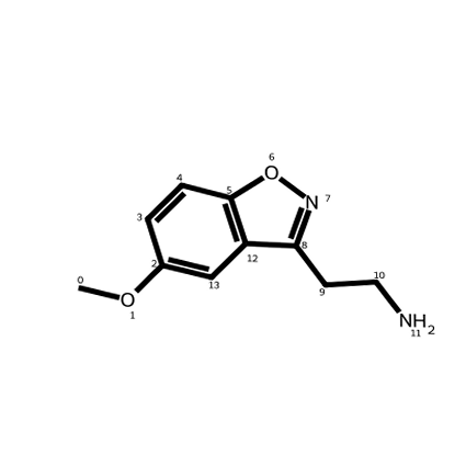 COc1ccc2onc(CCN)c2c1